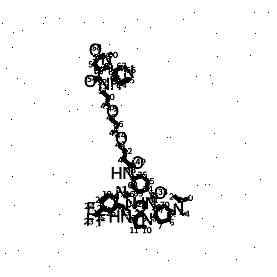 CC(C)N(C)[C@@H]1CC[C@H](N2CC[C@H](Nc3ncnc4ccc(C(F)(F)F)cc34)C2=O)[C@H](NC(=O)[C@H]2CC[C@@H](NC(=O)CCCOCCCOCCCNC(=O)[C@H]3CC(=O)N(C)[C@@H]3c3cccnc3)CC2)C1